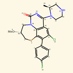 CO[C@H]1CSc2c(-c3ccc(F)cc3)c(Cl)cc3c(N4CCNC[C@@H]4C)nc(=O)n(c23)C1